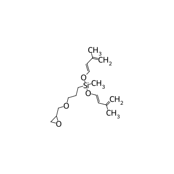 C=C(C)C=CO[Si](C)(CCCOCC1CO1)OC=CC(=C)C